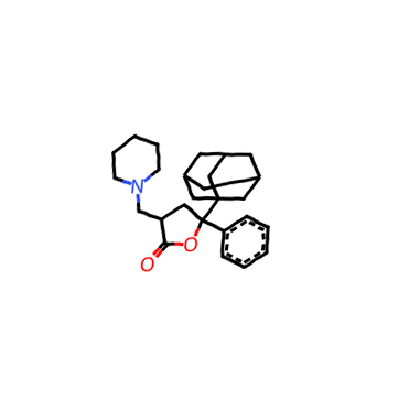 O=C1OC(c2ccccc2)(C23CC4CC(CC(C4)C2)C3)CC1CN1CCCCC1